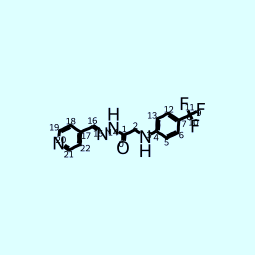 O=C(CNc1ccc(C(F)(F)F)cc1)N/N=C/c1ccncc1